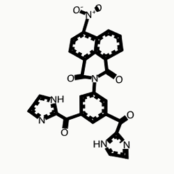 O=C(c1cc(C(=O)c2ncc[nH]2)cc(N2C(=O)c3cccc4c([N+](=O)[O-])ccc(c34)C2=O)c1)c1ncc[nH]1